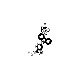 Nc1noc2cc(-n3c4ccccc4c4c(OS(=O)(=O)C(F)(F)F)cccc43)nnc12